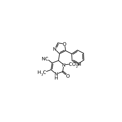 CC1=C(C#N)C(c2ncoc2-c2cccnc2)N(C(=O)O)C(=O)N1